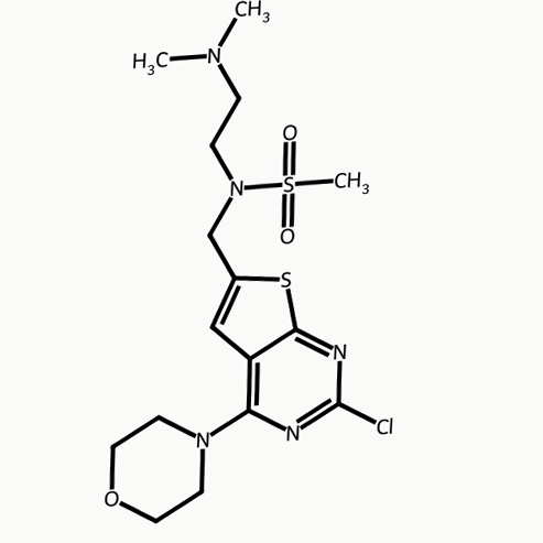 CN(C)CCN(Cc1cc2c(N3CCOCC3)nc(Cl)nc2s1)S(C)(=O)=O